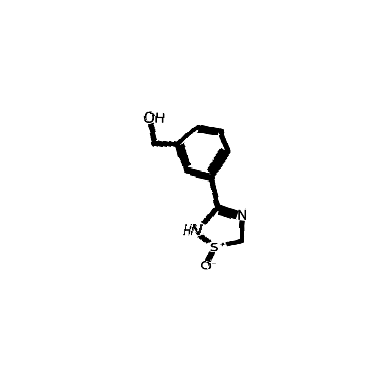 [O-][S+]1CN=C(c2cccc(CO)c2)N1